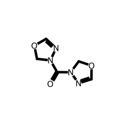 O=C(N1COC=N1)N1COC=N1